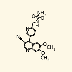 COc1cc2ncc(C#N)c(-c3ccc(CNS(N)(=O)=O)nc3)c2cc1OC